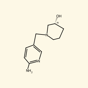 Nc1ccc(CN2CCC[C@@H](O)C2)cn1